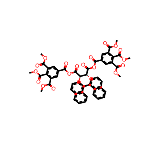 COC(=O)c1cc(C(=O)OC(=O)[C@H](OC(c2ccccc2)c2ccccc2)[C@@H](OC(c2ccccc2)c2ccccc2)C(=O)OC(=O)c2cc(C(=O)OC)c(C(=O)OC)c(C(=O)OC)c2)cc(C(=O)OC)c1C(=O)OC